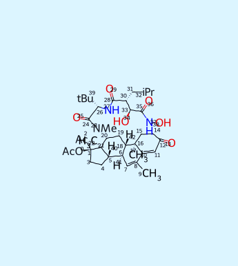 CC(=O)O[C@]1(C(C)=O)CC[C@H]2[C@@H]3C=C(C)C4=CC(=O)CC[C@]4(C)[C@H]3CC[C@@]21C.CNC(=O)[C@@H](NC(=O)[C@H](CC(C)C)[C@H](O)C(=O)NO)C(C)(C)C